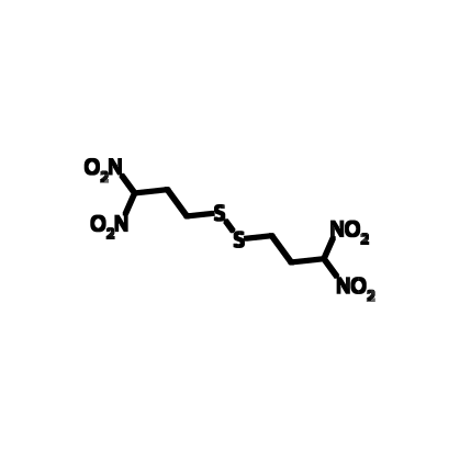 O=[N+]([O-])C(CCSSCCC([N+](=O)[O-])[N+](=O)[O-])[N+](=O)[O-]